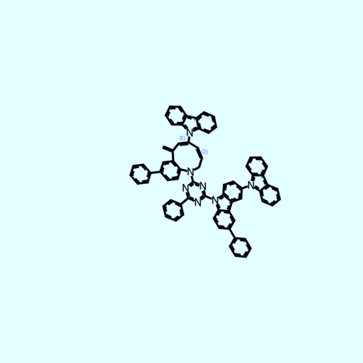 C=C1/C=C(n2c3ccccc3c3ccccc32)\C=C/CN(c2nc(-c3ccccc3)nc(-n3c4ccc(-c5ccccc5)cc4c4cc(-n5c6ccccc6c6ccccc65)ccc43)n2)c2ccc(-c3ccccc3)cc21